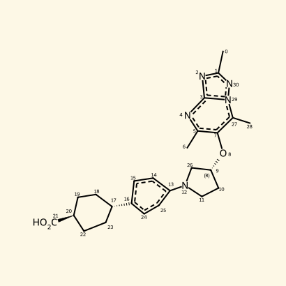 Cc1nc2nc(C)c(O[C@@H]3CCN(c4ccc([C@H]5CC[C@H](C(=O)O)CC5)cc4)C3)c(C)n2n1